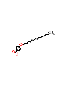 CCCCCCCCCCCCCCCCOc1ccc(C([O])=O)cc1